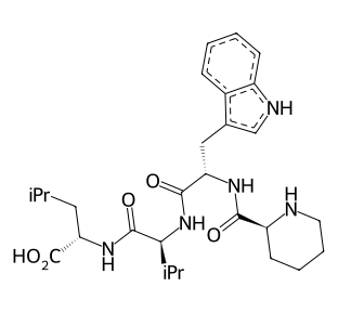 CC(C)C[C@H](NC(=O)[C@@H](NC(=O)[C@H](Cc1c[nH]c2ccccc12)NC(=O)[C@@H]1CCCCN1)C(C)C)C(=O)O